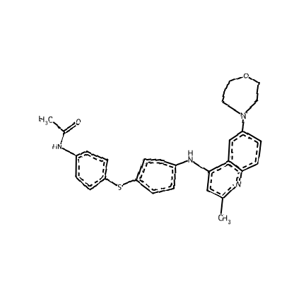 CC(=O)Nc1ccc(Sc2ccc(Nc3cc(C)nc4ccc(N5CCOCC5)cc34)cc2)cc1